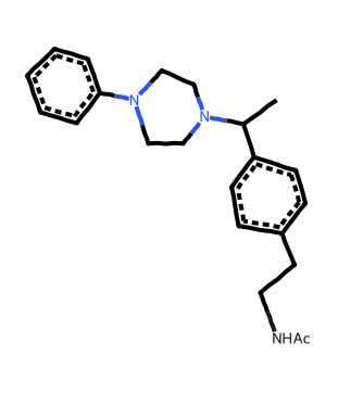 CC(=O)NCCc1ccc(C(C)N2CCN(c3ccccc3)CC2)cc1